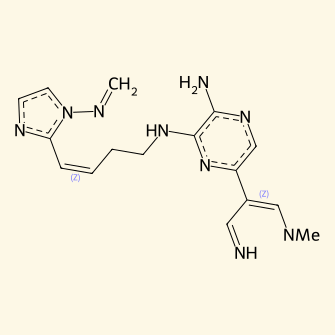 C=Nn1ccnc1/C=C\CCNc1nc(/C(C=N)=C/NC)cnc1N